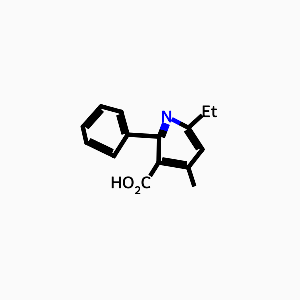 CCc1cc(C)c(C(=O)O)c(-c2ccccc2)n1